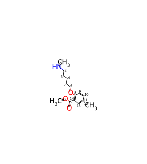 CNCCCCCOc1ccc(C)cc1C(=O)OC